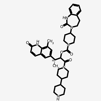 Cc1cc([C@@H](C)C(OC(=O)N2CCC(N3CCc4ccccc4NC3=O)CC2)C(=O)N2CCC(C3CCNCC3)CC2)cc2ccc(=O)[nH]c12